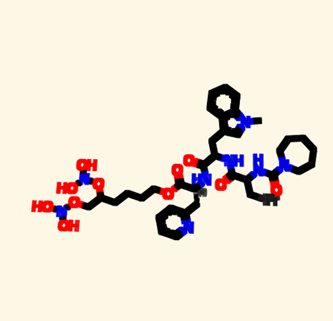 CC(C)CC(NC(=O)N1CCCCCC1)C(=O)NC(Cc1cn(C)c2ccccc12)C(=O)N[C@H](Cc1ccccn1)C(=O)OCCCCC(CON(O)O)ON(O)O